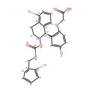 O=C(O)COc1ccc(Cl)cc1[C@@H]1c2cccc(F)c2CCN1OC(=O)OCc1ccccc1F